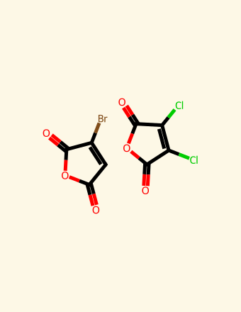 O=C1C=C(Br)C(=O)O1.O=C1OC(=O)C(Cl)=C1Cl